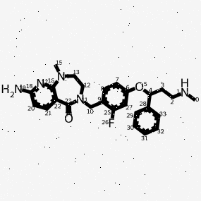 CNCCC(Oc1ccc(CN2CCN(C)c3nc(N)ccc3C2=O)c(F)c1)c1ccccc1